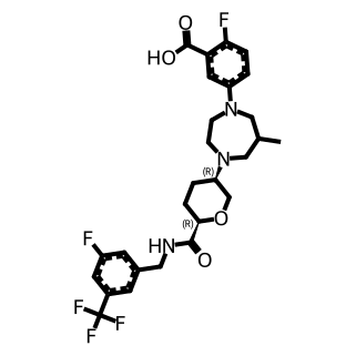 CC1CN(c2ccc(F)c(C(=O)O)c2)CCN([C@@H]2CC[C@H](C(=O)NCc3cc(F)cc(C(F)(F)F)c3)OC2)C1